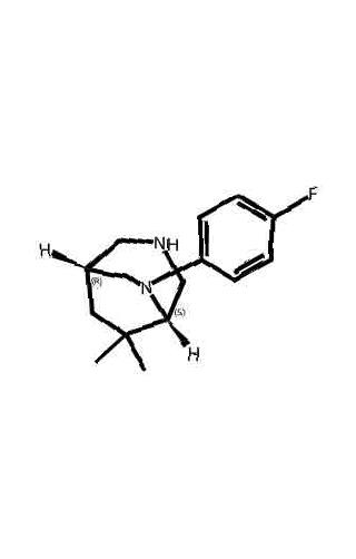 CC1(C)C[C@@H]2CNC[C@H]1N(c1ccc(F)cc1)C2